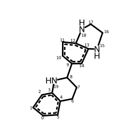 c1ccc2c(c1)CCC(c1ccc3c(c1)NCCN3)N2